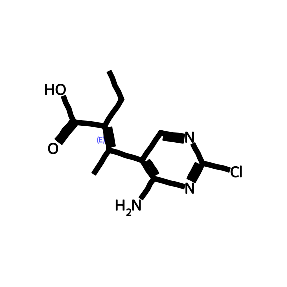 CC/C(C(=O)O)=C(/C)c1cnc(Cl)nc1N